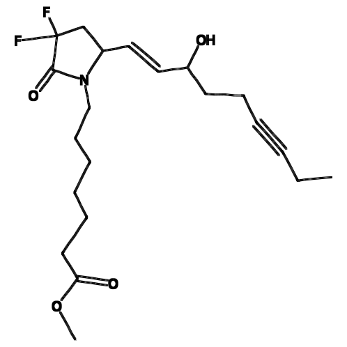 CCC#CCCC(O)/C=C/C1CC(F)(F)C(=O)N1CCCCCCC(=O)OC